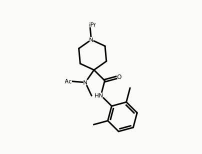 CC(=O)N(C)C1(C(=O)Nc2c(C)cccc2C)CCN(C(C)C)CC1